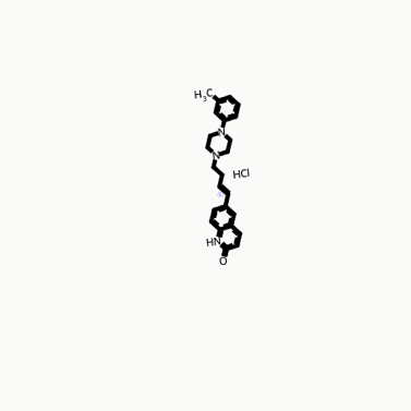 Cc1cccc(N2CCN(CC/C=C/c3ccc4[nH]c(=O)ccc4c3)CC2)c1.Cl